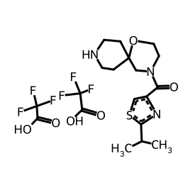 CC(C)c1nc(C(=O)N2CCOC3(CCNCC3)C2)cs1.O=C(O)C(F)(F)F.O=C(O)C(F)(F)F